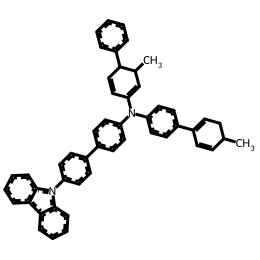 CC1C=CC(c2ccc(N(C3=CC(C)C(c4ccccc4)C=C3)c3ccc(-c4ccc(-n5c6ccccc6c6ccccc65)cc4)cc3)cc2)=CC1